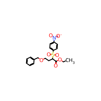 CCOC(=O)C(CCOCc1ccccc1)S(=O)(=O)c1ccc([N+](=O)[O-])cc1